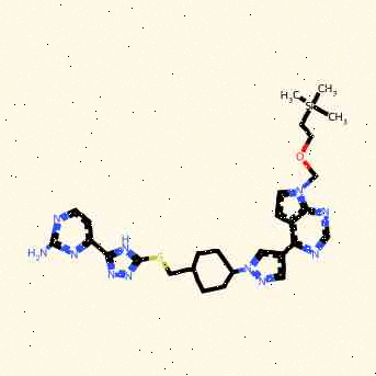 C[Si](C)(C)CCOCn1ccc2c(-c3cnn(C4CCC(CSc5nnc(-c6ccnc(N)n6)[nH]5)CC4)c3)ncnc21